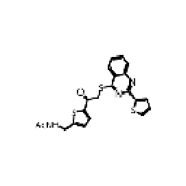 CC(=O)NCc1ccc(C(=O)CSc2nc(-c3cccs3)nc3ccccc23)s1